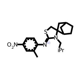 Cc1cc([N+](=O)[O-])ccc1/N=C1\SCC2(CC3CCC2C3)N1CC(C)C